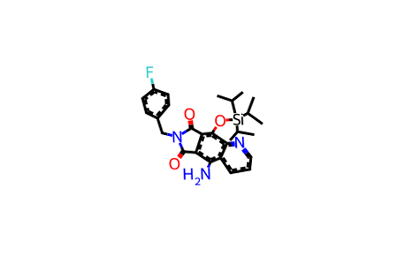 CC(C)[Si](Oc1c2c(c(N)c3cccnc13)C(=O)N(Cc1ccc(F)cc1)C2=O)(C(C)C)C(C)C